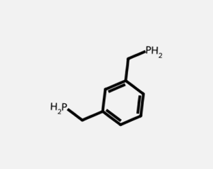 PCc1cccc(CP)c1